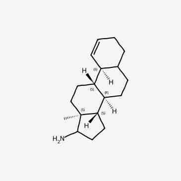 C[C@]12CC[C@H]3[C@@H](CCC4CCC=C[C@@H]43)[C@@H]1CCC2N